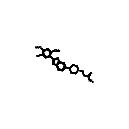 COc1cc(OC)c(-c2cn3ccc(N4CCN(CCC(N)=O)CC4)cc3n2)cc1Cl